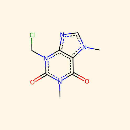 Cn1c(=O)c2c(ncn2C)n(CCl)c1=O